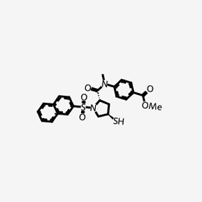 COC(=O)c1ccc(N(C)C(=O)[C@@H]2C[C@@H](S)CN2S(=O)(=O)c2ccc3ccccc3c2)cc1